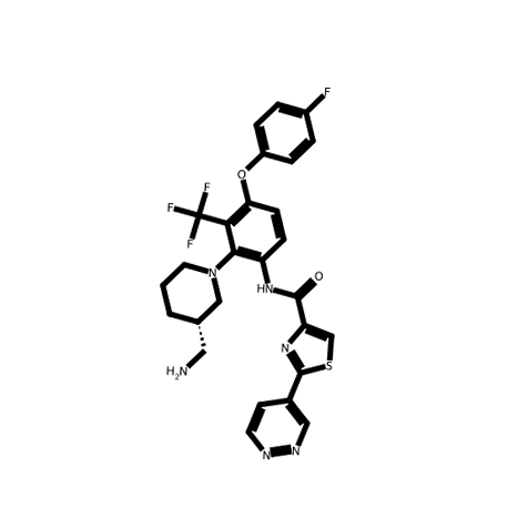 NC[C@@H]1CCCN(c2c(NC(=O)c3csc(-c4ccnnc4)n3)ccc(Oc3ccc(F)cc3)c2C(F)(F)F)C1